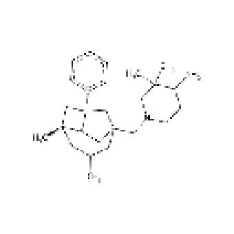 CC1CC2(CN3CCC(N)C(C)(C)C3)CC3[C@](C)(C1)C[C@@]3(c1ccccc1)C2